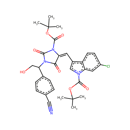 CC(C)(C)OC(=O)N1C(=O)N(C(CO)c2ccc(C#N)cc2)C(=O)C1=Cc1cn(C(=O)OC(C)(C)C)c2cc(Cl)ccc12